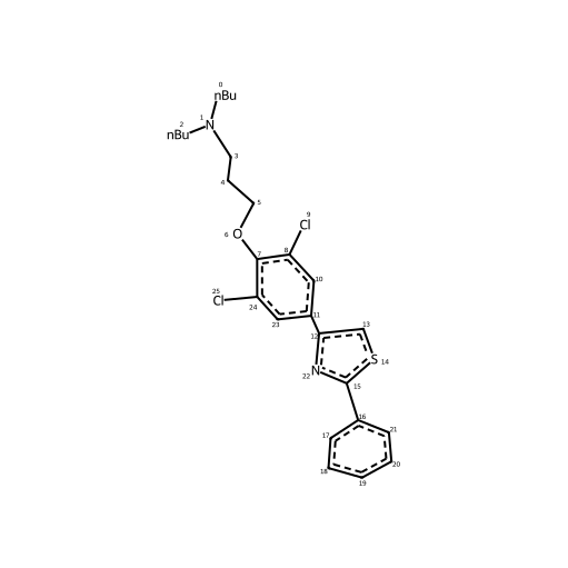 CCCCN(CCCC)CCCOc1c(Cl)cc(-c2csc(-c3ccccc3)n2)cc1Cl